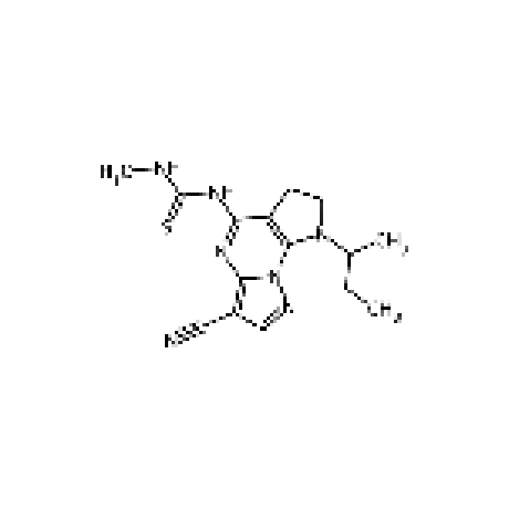 CCC(C)N1CCc2c(NC(=S)NC)nc3c(C#N)cnn3c21